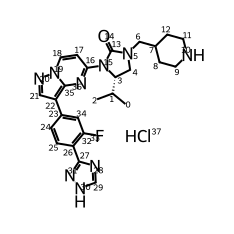 CC(C)[C@H]1CN(CC2CCNCC2)C(=O)N1c1ccn2ncc(-c3ccc(-c4nc[nH]n4)c(F)c3)c2n1.Cl